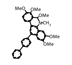 COc1cc2c(-c3ccc(-c4ccccc4)cc3)cc3c(c2cc1OC)N(C)C(OC)c1c-3ccc(OC)c1OC